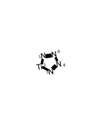 N1=[N][Ti][N]=N1